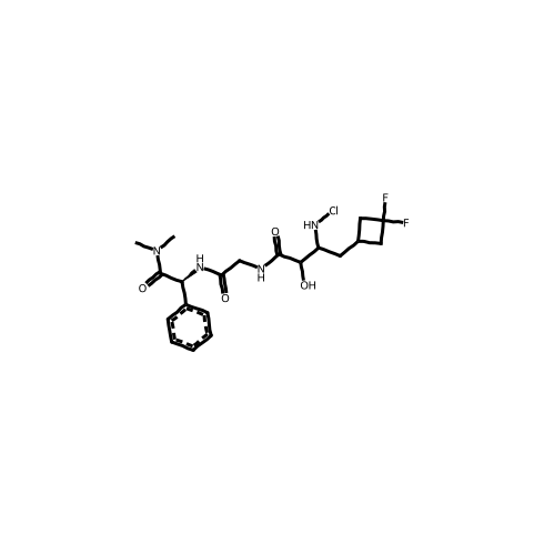 CN(C)C(=O)[C@@H](NC(=O)CNC(=O)C(O)C(CC1CC(F)(F)C1)NCl)c1ccccc1